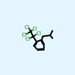 CC(C)[CH]c1ccccc1C(Cl)(Cl)C(Cl)(Cl)Cl